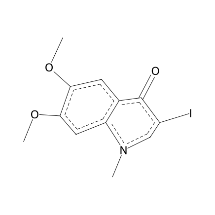 COc1cc2c(=O)c(I)cn(C)c2cc1OC